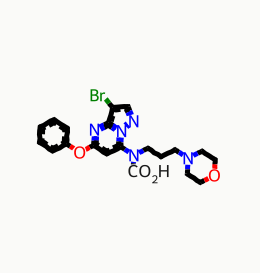 O=C(O)N(CCCN1CCOCC1)c1cc(Oc2ccccc2)nc2c(Br)cnn12